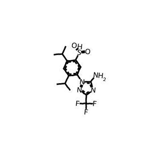 CC(C)c1cc(C(C)C)c([SH](=O)=O)cc1-n1nc(C(F)(F)F)nc1N